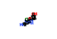 CN(c1c(Cl)c(C(=O)NC2C3CC4CC2CC(O)(C4)C3)nn1C)[C@@H]1CCNC1